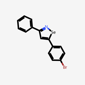 Brc1ccc(-c2cc(-c3ccccc3)n[se]2)cc1